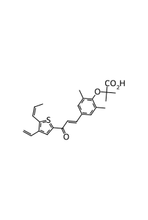 C=Cc1cc(C(=O)/C=C/c2cc(C)c(OC(C)(C)C(=O)O)c(C)c2)sc1/C=C\C